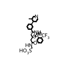 Cc1cnccc1-c1cccc([C@H](CCCC(=O)NCS(=O)(=O)O)NS(=O)(=O)c2ccccc2C(F)(F)F)c1